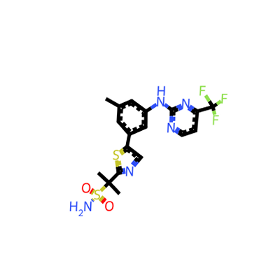 Cc1cc(Nc2nccc(C(F)(F)F)n2)cc(-c2cnc(C(C)(C)S(N)(=O)=O)s2)c1